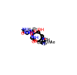 CCn1c(C2=C([C@H](C)OC)N=CCC2)c2c3cc(ccc31)-c1cc(O)cc(c1)C[C@H](NC(=O)[C@H](C(C)C)N(C)C(=O)N1CCCN(C(=O)[C@H]3CN3)CC1)C(=O)N1CCC[C@H](N1)C(=O)OCC(C)(C)C2